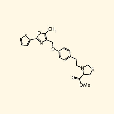 COC(=O)[C@@H]1CSCN1CCc1ccc(OCc2nc(-c3cccs3)oc2C)cc1